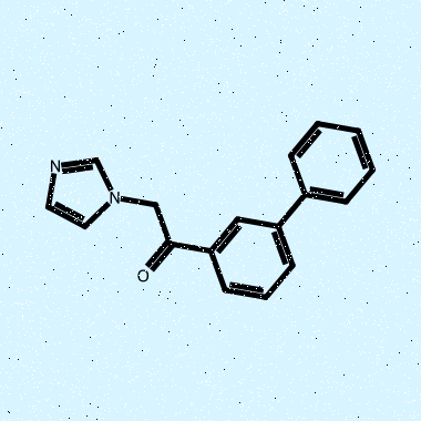 O=C(Cn1ccnc1)c1cccc(-c2ccccc2)c1